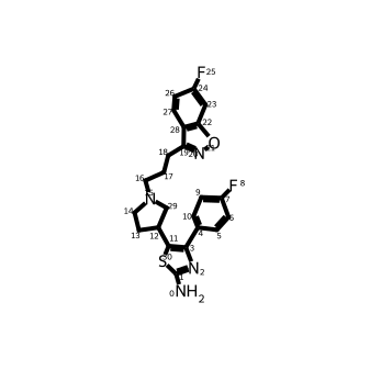 Nc1nc(-c2ccc(F)cc2)c(C2CCN(CCCc3noc4cc(F)ccc34)C2)s1